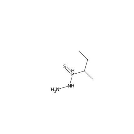 CCC(C)[PH](=S)NN